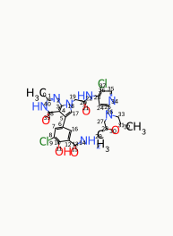 Cc1nc2c(c(-c3cc(Cl)c(O)c(C(N)=O)c3)cn2CC(=O)Nc2cc(N3C[C@@H](C)O[C@@H](C)C3)ncc2Cl)c(=O)[nH]1